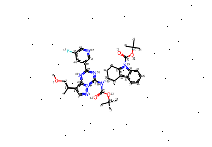 COCC(C)c1cnn2c(N(C(=O)OC(C)(C)C)[C@@H]3CCc4c(c5ccccc5n4C(=O)OC(C)(C)C)C3)nc(-c3cncc(F)c3)nc12